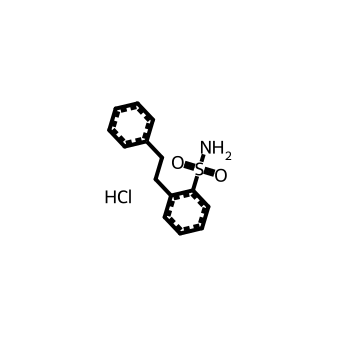 Cl.NS(=O)(=O)c1ccccc1CCc1ccccc1